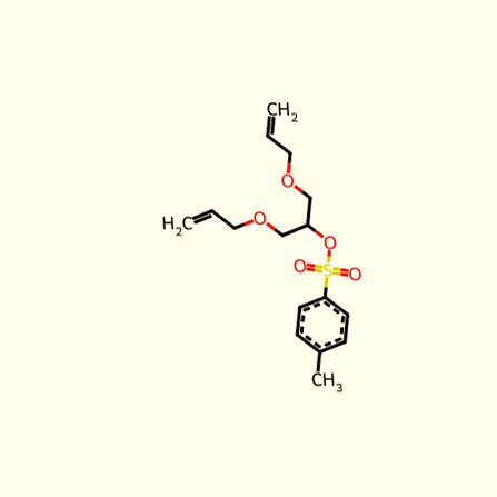 C=CCOCC(COCC=C)OS(=O)(=O)c1ccc(C)cc1